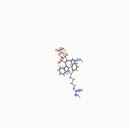 Cn1cc(C2=C(c3cn(CCCCCSC(=N)N)c4ccccc34)C(=O)N(OS(C)(=O)=O)C2=O)c2ccccc21